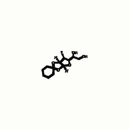 OC[C@@H](O)[C@H]1O[C@@H]2OC3(CCCCC3)O[C@@H]2[C@H]1F